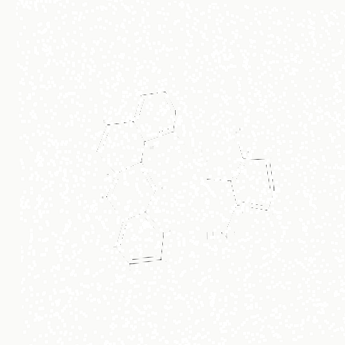 Bc1cccc2ccc3cc4ccccc4cc3c12.CCc1cccc(N)c1CC